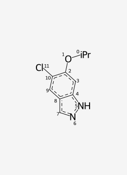 CC(C)Oc1cc2[nH]ncc2cc1Cl